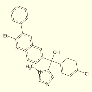 CCc1nc2ccc(C(O)(C3=CC=C(Cl)CC3)c3cncn3C)cc2cc1-c1ccccc1